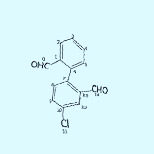 O=Cc1ccccc1-c1ccc(Cl)cc1C=O